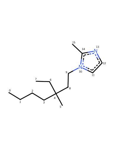 CCCCC(C)(CC)CCn1ccnc1C